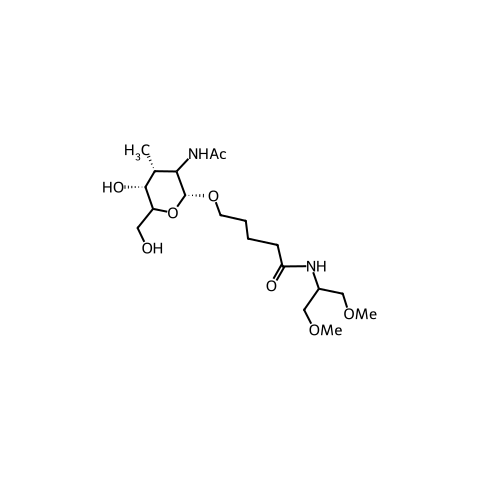 COCC(COC)NC(=O)CCCCO[C@@H]1OC(CO)[C@H](O)[C@H](C)C1NC(C)=O